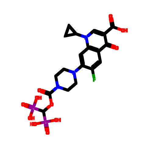 O=C(O)c1cn(C2CC2)c2cc(N3CCN(C(=O)OC(P(=O)(O)O)P(=O)(O)O)CC3)c(F)cc2c1=O